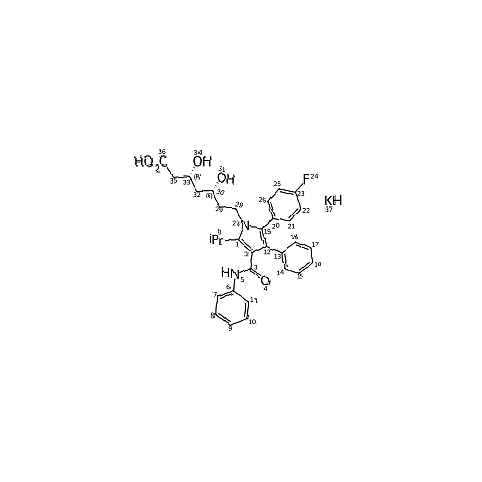 CC(C)c1c(C(=O)Nc2ccccc2)c(-c2ccccc2)c(-c2ccc(F)cc2)n1CC[C@@H](O)C[C@@H](O)CC(=O)O.[KH]